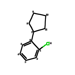 Clc1ccccc1C1CCCC1